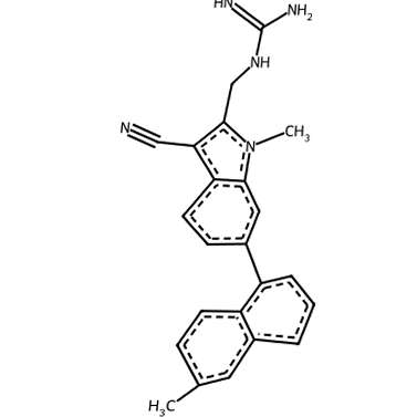 Cc1ccc2c(-c3ccc4c(C#N)c(CNC(=N)N)n(C)c4c3)cccc2c1